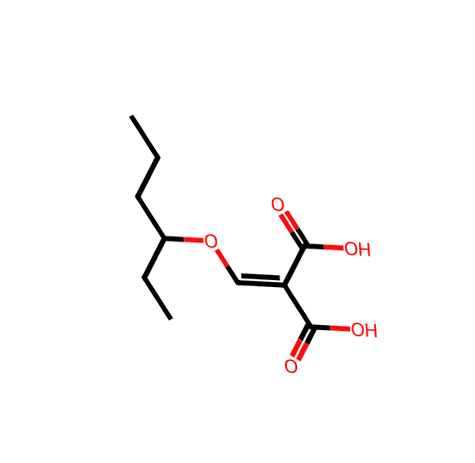 CCCC(CC)OC=C(C(=O)O)C(=O)O